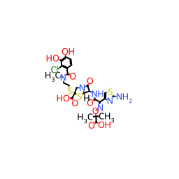 CN(CCS[C@]1(C(=O)O)CN2C(=O)C(NC(=O)/C(=N\OC(C)(C)C(=O)O)c3csc(N)n3)[C@H]2S1)C(=O)c1ccc(O)c(O)c1Cl